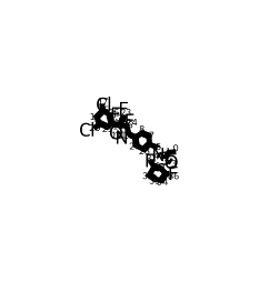 CCS(=O)(=NCc1ccc(C2=NOC(c3cc(Cl)cc(Cl)c3)(C(F)(F)F)C2)cc1)c1c(F)cccc1F